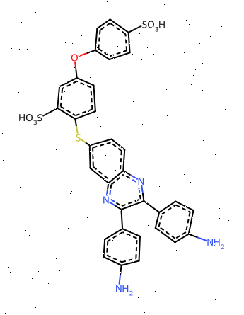 Nc1ccc(-c2nc3ccc(Sc4ccc(Oc5ccc(S(=O)(=O)O)cc5)cc4S(=O)(=O)O)cc3nc2-c2ccc(N)cc2)cc1